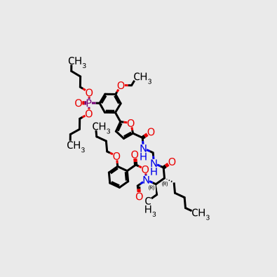 CCCCC[C@@H](C(=O)NCNC(=O)c1ccc(-c2cc(OCC)cc(P(=O)(OCCCC)OCCCC)c2)o1)[C@@H](CC)N(C=O)OC(=O)c1ccccc1OCCCC